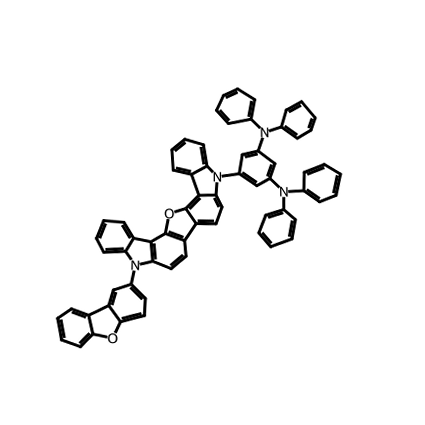 c1ccc(N(c2ccccc2)c2cc(N(c3ccccc3)c3ccccc3)cc(-n3c4ccccc4c4c5oc6c(ccc7c6c6ccccc6n7-c6ccc7oc8ccccc8c7c6)c5ccc43)c2)cc1